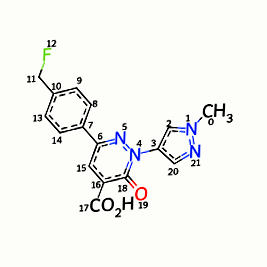 Cn1cc(-n2nc(-c3ccc(CF)cc3)cc(C(=O)O)c2=O)cn1